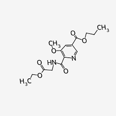 CCCOC(=O)c1cnc(C(=O)NCC(=O)OCC)c(OC)c1